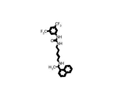 C[C@@H](NC/C=C/CCNC(=O)Nc1cc(C(F)(F)F)cc(C(F)(F)F)c1)c1cccc2ccccc12